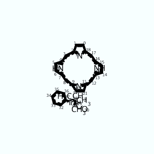 C1=Cc2cc3ccc(cc4nc(cc5ccc(cc1n2)[nH]5)C=C4)[nH]3.[CH3][Ir]([CH3])([CH3])([CH3])(=[C]=O)[c]1ccccc1